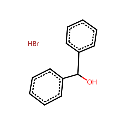 Br.OC(c1ccccc1)c1ccccc1